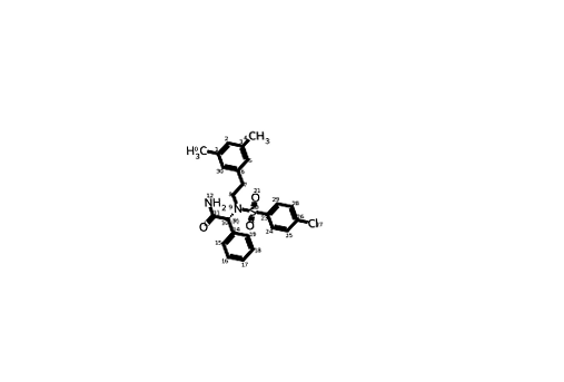 Cc1cc(C)cc(CCN([C@@H](C(N)=O)c2ccccc2)S(=O)(=O)c2ccc(Cl)cc2)c1